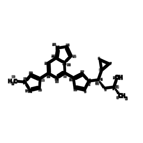 C[C@@H](O)C[C@@H](C1CC1)n1ccc(-c2nc(-c3cnn(C)c3)cc3nccn23)c1